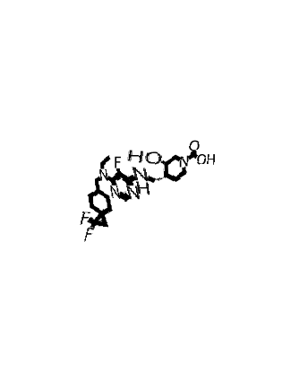 CCN(CC1CCC2(CC1)CC2(F)F)c1ncnc(NC[C@H]2CCN(C(=O)O)C[C@@H]2O)c1F